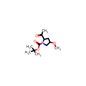 COC1CC(C(C)=O)N(C(=O)OC(C)(C)C)C1